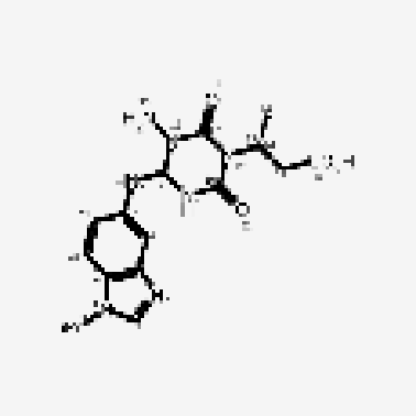 CC(C)n1cnc2cc(NC3NC(=O)N([C@@H](C)CC(=O)O)C(=O)N3N)ccc21